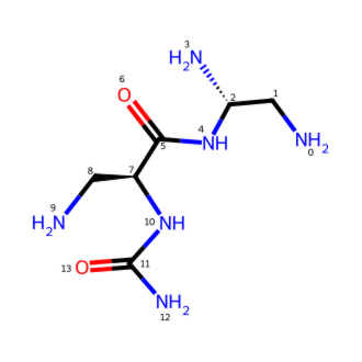 NC[C@@H](N)NC(=O)[C@H](CN)NC(N)=O